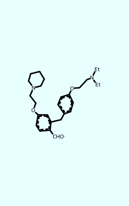 CCN(CC)CCOc1ccc(Cc2cc(OCCN3CCCCC3)ccc2[C]=O)cc1